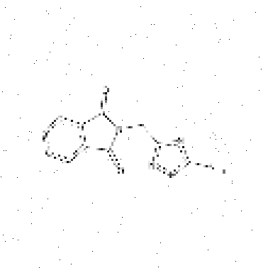 Nc1nc(CN2C(=O)c3ccccc3C2=O)ns1